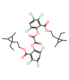 CCC1(CCOC(=O)c2c(Cl)c(Cl)cc(Cl)c2OC(=O)C(=O)Oc2c(Cl)cc(Cl)c(Cl)c2C(=O)OCCC2(CC)C(C)C2C)C(C)C1C